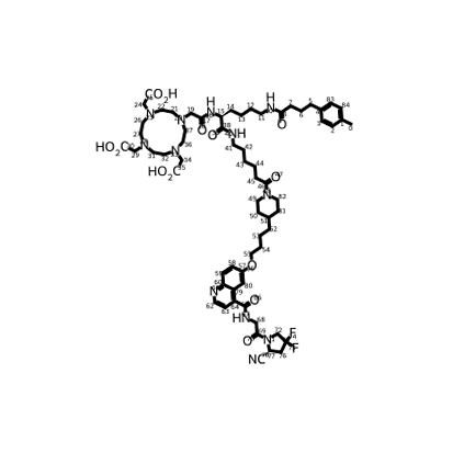 Cc1ccc(CCCC(=O)NCCCC[C@H](NC(=O)CN2CCN(CC(=O)O)CCN(CC(=O)O)CCN(CC(=O)O)CC2)C(=O)NCCCCCC(=O)N2CCC(CCCCOc3ccc4nccc(C(=O)NCC(=O)N5CC(F)(F)C[C@@H]5C#N)c4c3)CC2)cc1